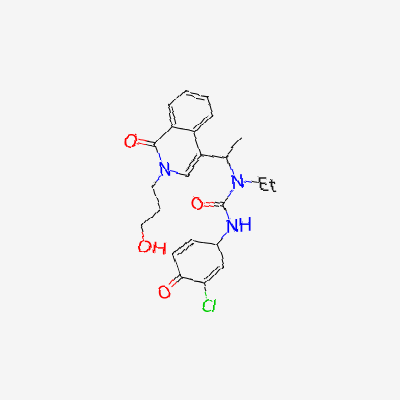 CCN(C(=O)NC1C=CC(=O)C(Cl)=C1)C(C)c1cn(CCCO)c(=O)c2ccccc12